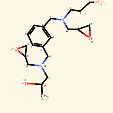 BCCCN(Cc1cccc(CN(CC(C)O)CC2CO2)c1)CC1CO1